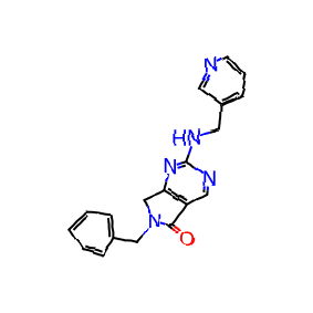 O=C1c2cnc(NCc3cccnc3)nc2CN1Cc1ccccc1